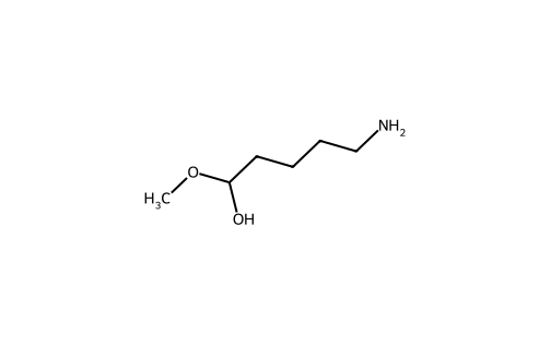 COC(O)CCCCN